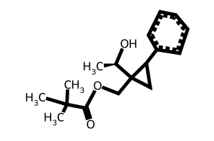 C[C@@H](O)C1(COC(=O)C(C)(C)C)CC1c1ccccc1